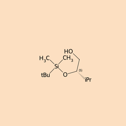 CC(C)[C@@H](CO)O[Si](C)(C)C(C)(C)C